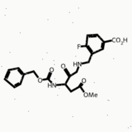 COC(=O)CC(NC(=O)OCc1ccccc1)C(=O)CNCc1cc(C(=O)O)ccc1F